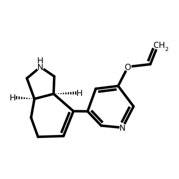 C=COc1cncc(C2=CCC[C@H]3CNC[C@@H]23)c1